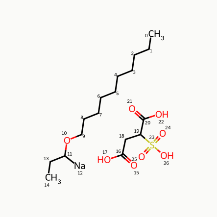 CCCCCCCCCCO[CH]([Na])CC.O=C(O)CC(C(=O)O)S(=O)(=O)O